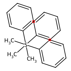 CS(C)(C)(c1ccccc1)(c1ccccc1)c1ccccc1